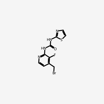 O=C(Nc1nccs1)Nc1nccc(CBr)c1F